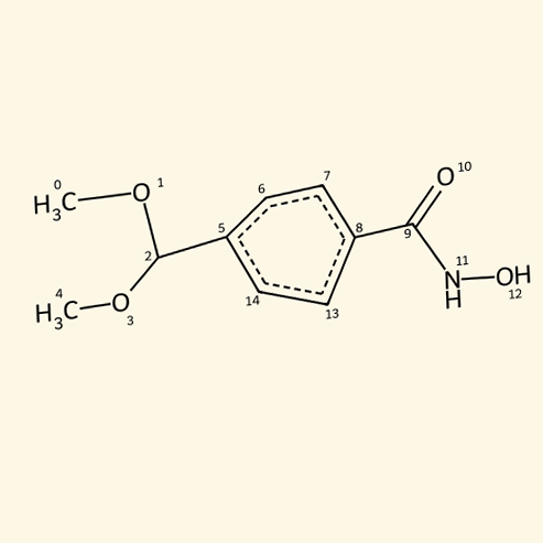 COC(OC)c1ccc(C(=O)NO)cc1